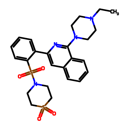 CCN1CCN(c2nc(-c3ccccc3S(=O)(=O)N3CCS(=O)(=O)CC3)cc3ccccc23)CC1